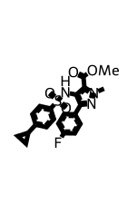 COC(=O)c1c(NS(=O)(=O)c2ccc(C3CC3)cc2)c(-c2ccc(F)cc2)nn1C